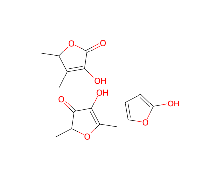 CC1=C(O)C(=O)C(C)O1.CC1=C(O)C(=O)OC1C.Oc1ccco1